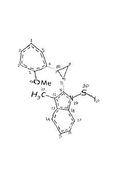 COc1ccccc1[C@@H]1C[C@@H]1c1c(C)c2ccccc2n1SI